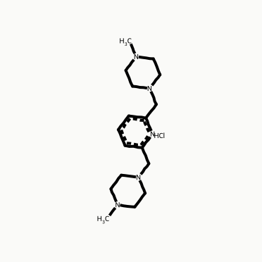 CN1CCN(Cc2cccc(CN3CCN(C)CC3)n2)CC1.Cl